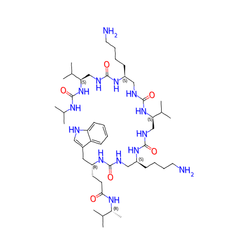 CC(C)NC(=O)N[C@H](CNC(=O)N[C@@H](CCCCN)CNC(=O)N[C@H](CNC(=O)N[C@@H](CCCCN)CNC(=O)N[C@H](CCC(=O)N[C@H](C)C(C)C)Cc1c[nH]c2ccccc12)C(C)C)C(C)C